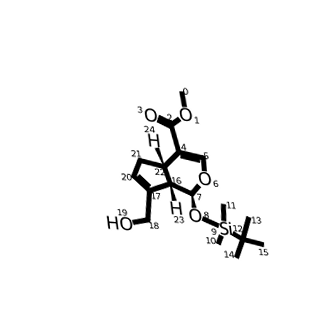 COC(=O)C1=CO[C@@H](O[Si](C)(C)C(C)(C)C)[C@@H]2C(CO)=CC[C@H]12